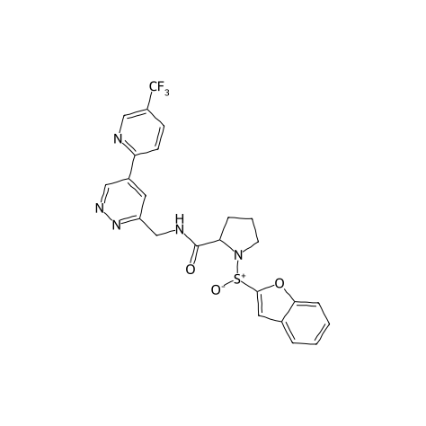 O=C(NCc1cc(-c2ccc(C(F)(F)F)cn2)cnn1)C1CCCN1[S+]([O-])c1cc2ccccc2o1